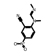 CN=CN(C)c1ccc([N+](=O)[O-])cc1C#N